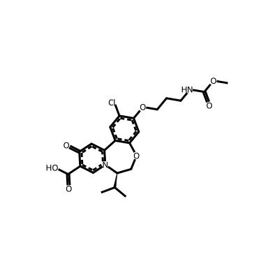 COC(=O)NCCCOc1cc2c(cc1Cl)-c1cc(=O)c(C(=O)O)cn1[C@H](C(C)C)CO2